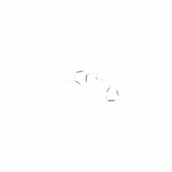 N#CCc1ccc2nc(Cc3ccccc3)oc2c1